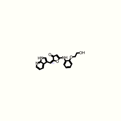 O=C1C=C(Nc2ccccc2OCCO)O/C1=C/c1c[nH]c2ncccc12